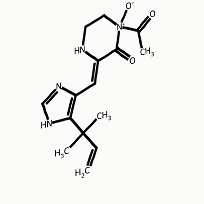 C=CC(C)(C)c1[nH]cnc1C=C1NCC[N+]([O-])(C(C)=O)C1=O